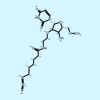 COC[C@H]1O[C@@H](n2ccc(=O)[nH]c2=O)C(OCCNC(=O)CCCCCN=[N+]=[N-])C1O